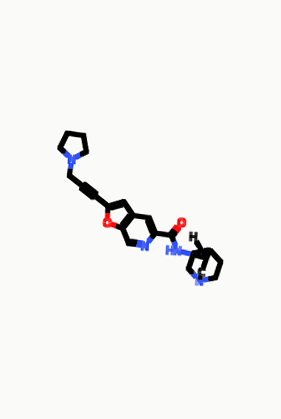 O=C(N[C@H]1CN2CCC1CC2)c1cc2cc(C#CCN3CCCC3)oc2cn1